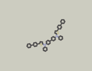 c1ccc(-c2ccc(-c3ccc(N(c4ccccc4)c4ccc(-c5ccc(N(c6ccccc6)c6ccc(-c7ccc(-c8ccccc8)cc7)s6)cc5)cc4)s3)cc2)cc1